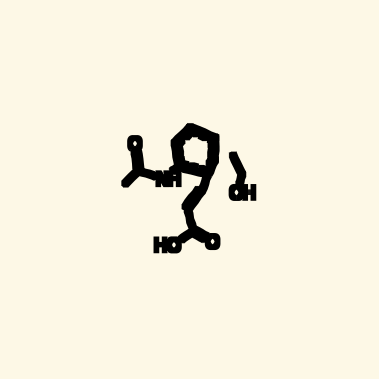 CC(=O)Nc1ccccc1C=CC(=O)O.CCO